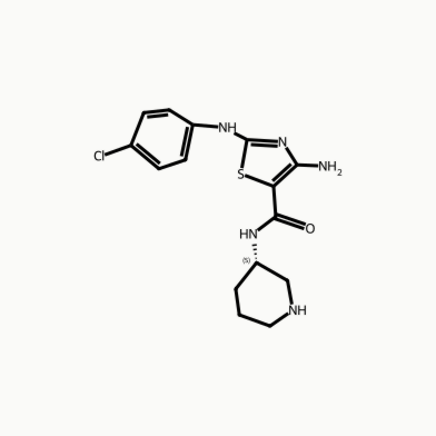 Nc1nc(Nc2ccc(Cl)cc2)sc1C(=O)N[C@H]1CCCNC1